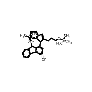 C[C](C)=[Zr+2][CH]1c2ccccc2-c2cccc(C3C(CCCO[Si](C)(C)C)=Cc4ccccc43)c21.[Cl-].[Cl-]